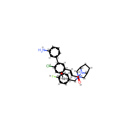 CC(=O)Nc1cc(Cl)c(-c2cccc(N)c2)cc1/C=C/C(=O)N1C2CCC1CN(Cc1ccc(F)cc1)C2